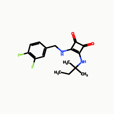 CCC(C)(C)Nc1c(NCc2ccc(F)c(F)c2)c(=O)c1=O